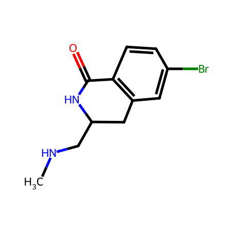 CNCC1Cc2cc(Br)ccc2C(=O)N1